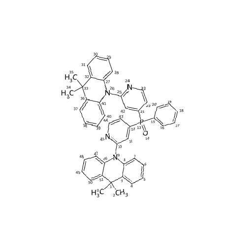 CC1(C)c2ccccc2N(c2cc(P(=O)(c3ccccc3)c3ccnc(N4c5ccccc5C(C)(C)c5ccccc54)c3)ccn2)c2ccccc21